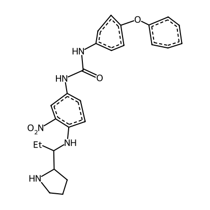 CCC(Nc1ccc(NC(=O)Nc2ccc(Oc3ccccc3)cc2)cc1[N+](=O)[O-])C1CCCN1